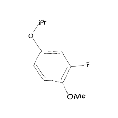 COc1ccc(OC(C)C)cc1F